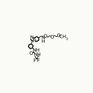 COCCOCCONCc1ccn2c(-c3cccc(NC(=O)NCC(F)(F)F)c3)cnc2c1